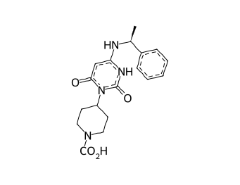 C[C@H](Nc1cc(=O)n(C2CCN(C(=O)O)CC2)c(=O)[nH]1)c1ccccc1